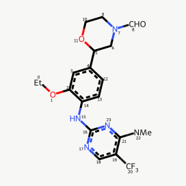 CCOc1cc(C2CN(C=O)CCO2)ccc1Nc1ncc(C(F)(F)F)c(NC)n1